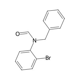 O=CN(Cc1ccccc1)c1ccccc1Br